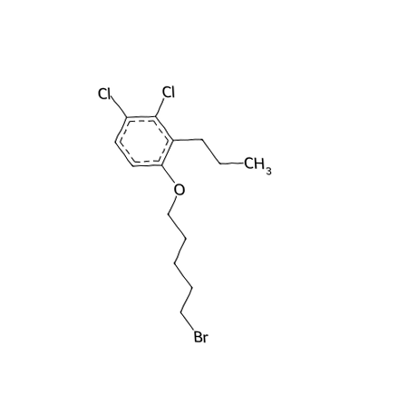 CCCc1c(OCCCCCBr)ccc(Cl)c1Cl